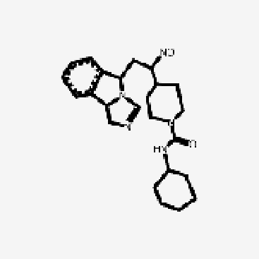 O=NC(CC1c2ccccc2C2CN=CN21)C1CCN(C(=O)NC2CCCCC2)CC1